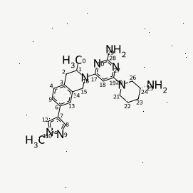 CC1Cc2ccc(-c3cnn(C)c3)cc2CN1c1cc(N2CCC[C@@H](N)C2)nc(N)n1